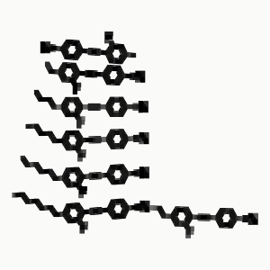 CCCCCCCc1ccc(C#Cc2ccc(C#N)cc2)c(F)c1.CCCCCCc1ccc(C#Cc2ccc(C#N)cc2)c(F)c1.CCCCCc1ccc(C#Cc2ccc(C#N)cc2)c(F)c1.CCCCc1ccc(C#Cc2ccc(C#N)cc2)c(F)c1.CCCc1ccc(C#Cc2ccc(C#N)cc2)c(F)c1.CCc1ccc(C#Cc2ccc(C#N)cc2)c(F)c1.Cc1ccc(C#Cc2ccc(C#N)cc2)c(F)c1